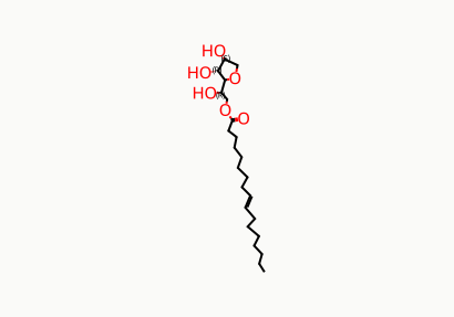 CCCCCCCC=CCCCCCCCC(=O)OC[C@@H](O)C1OC[C@H](O)[C@H]1O